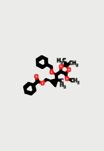 COC1OC(C)(C)OC1[C@H](OCc1ccccc1)C1(C)C[C@H]1COC(=O)c1ccccc1